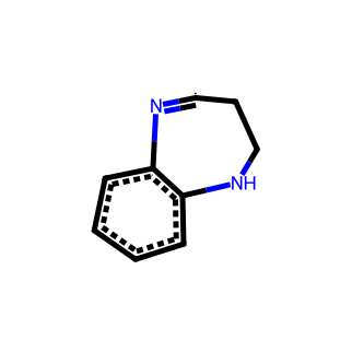 [C]1=Nc2ccccc2NCC1